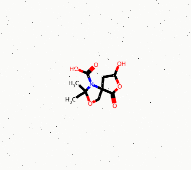 CC1(C)OCC2(CC(O)OC2=O)N1C(=O)O